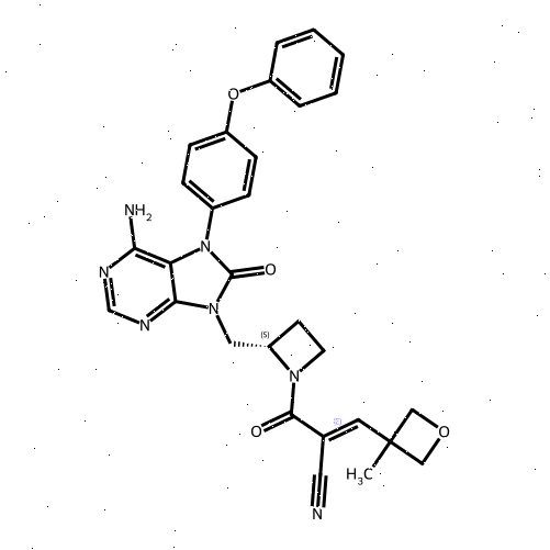 CC1(/C=C(\C#N)C(=O)N2CC[C@H]2Cn2c(=O)n(-c3ccc(Oc4ccccc4)cc3)c3c(N)ncnc32)COC1